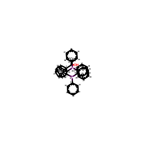 CC(O)[C]12[CH]3[CH]4[CH]5[C]1(P(c1ccccc1)c1ccccc1)[Fe]43521678[CH]2[CH]1[CH]6[C]7(P(c1ccccc1)c1ccccc1)[CH]28